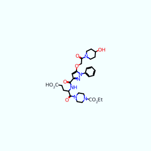 CCOC(=O)N1CCN(C(=O)C(CCC(=O)O)NC(=O)c2cc(OCC(=O)N3CCC(O)CC3)n(-c3ccccc3)n2)CC1